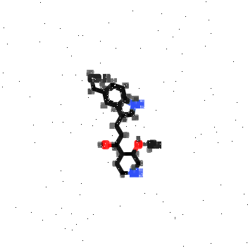 CC(C)(C)OC1CNCCC1C(=O)CCc1c[nH]c2ccc(CC(=O)O)cc12